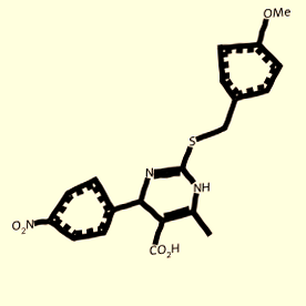 COc1ccc(CSC2=NC(c3ccc([N+](=O)[O-])cc3)C(C(=O)O)=C(C)N2)cc1